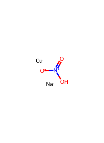 O=[N+]([O-])O.[Cu].[Na]